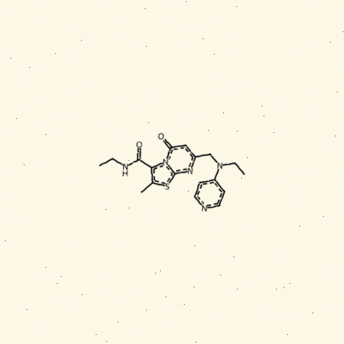 CCNC(=O)c1c(C)sc2nc(CN(CC)c3ccncc3)cc(=O)n12